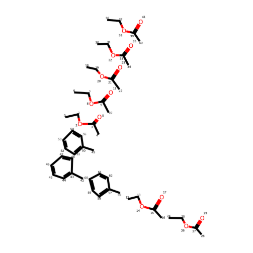 CCOC(C)=O.CCOC(C)=O.CCOC(C)=O.CCOC(C)=O.CCOC(C)=O.CCOC(C)=O.CCOC(C)=O.Cc1ccccc1.Cc1ccccc1.Cc1ccccc1